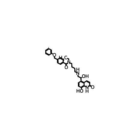 CCN(CCCCNC[C@@H](O)c1ccc(O)c2[nH]c(=O)ccc12)C(=O)c1ccc(COc2c[c]ccc2)cc1